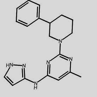 Cc1cc(Nc2cc[nH]n2)nc(N2CCCC(c3ccccc3)C2)n1